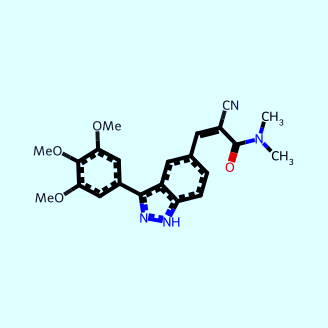 COc1cc(-c2n[nH]c3ccc(C=C(C#N)C(=O)N(C)C)cc23)cc(OC)c1OC